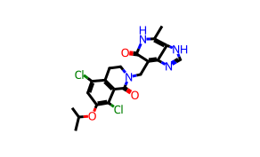 Cc1[nH]c(=O)c(CN2CCc3c(Cl)cc(OC(C)C)c(Cl)c3C2=O)c2nc[nH]c12